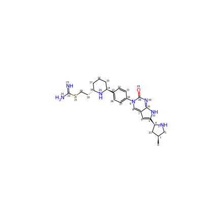 C[C@@H]1CN[C@H](c2cc3cn(-c4ccc([C@@H]5CCC[C@@H](CCSC(=N)N)N5)cc4)c(=O)nc3[nH]2)C1